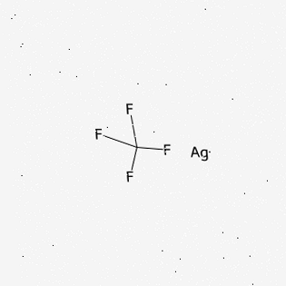 FC(F)(F)F.[Ag]